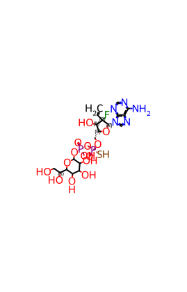 C=C[C@@]1(F)[C@H](O)[C@@H](COP(=O)(S)OP(=O)(O)OC2OC([C@@H](O)CO)C(O)C(O)C2O)O[C@H]1n1cnc2c(N)ncnc21